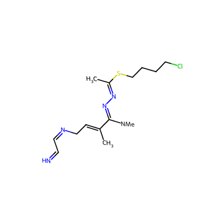 CNC(=N\N=C(/C)SCCCCCl)/C(C)=C/C/N=C\C=N